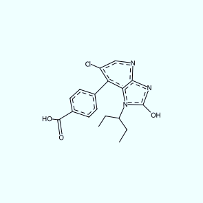 CCC(CC)n1c(O)nc2ncc(Cl)c(-c3ccc(C(=O)O)cc3)c21